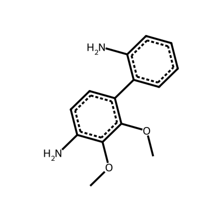 COc1c(N)ccc(-c2ccccc2N)c1OC